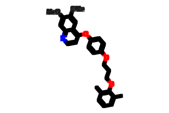 COc1cc2nccc(Oc3ccc(OCCCOc4c(C)cccc4C)cc3)c2cc1OC